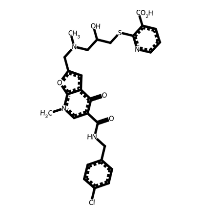 CN(Cc1cc2c(=O)c(C(=O)NCc3ccc(Cl)cc3)cn(C)c2o1)CC(O)CSc1ncccc1C(=O)O